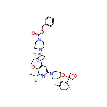 Cc1ccnc2c1C1(CCN(c3cc4c(c(C(F)F)n3)OCC[C@H]3[C@H](N5CCN(C(=O)OCc6ccccc6)CC5)CN43)CC1)OC21COC1